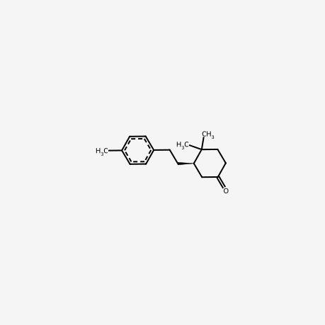 Cc1ccc(CC[C@@H]2CC(=O)CCC2(C)C)cc1